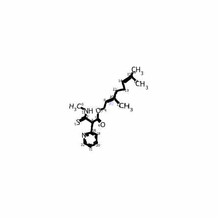 CNC(=S)C(C(=O)OC/C=C(\C)CCC=C(C)C)c1ccccn1